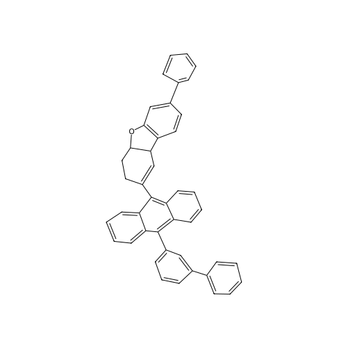 C1=C(c2c3ccccc3c(-c3cccc(-c4ccccc4)c3)c3ccccc23)CCC2Oc3cc(-c4ccccc4)ccc3C12